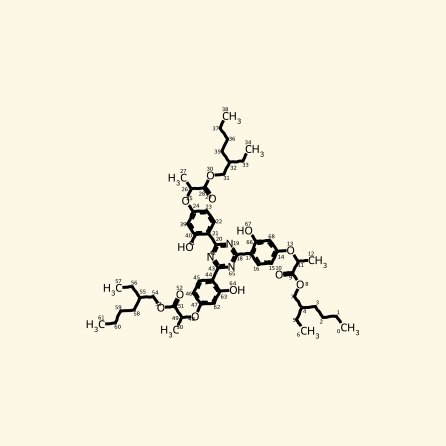 CCCCC(CC)COC(=O)C(C)Oc1ccc(-c2nc(-c3ccc(OC(C)C(=O)OCC(CC)CCCC)cc3O)nc(-c3ccc(OC(C)C(=O)OCC(CC)CCCC)cc3O)n2)c(O)c1